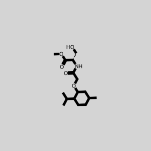 COC(=O)[C@H](CO)NC(=O)COC1CC(C)CCC1C(C)C